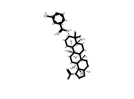 C=C(C)[C@@H]1CC[C@]2(C)CC[C@]3(C)[C@H](CC[C@@H]4[C@@]5(C)CC[C@H](OC(=O)c6cccc(Cl)c6)C(C)(C)[C@@H]5CC[C@]43C)[C@@H]12